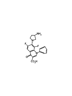 NC1CCN(c2c(F)cc3c(=O)c(C(=O)O)cn(-c4ccccc4)c3c2F)C1